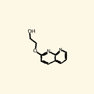 OCCOc1ccc2cccnc2n1